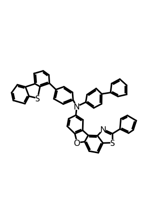 c1ccc(-c2ccc(N(c3ccc(-c4cccc5c4sc4ccccc45)cc3)c3ccc4oc5ccc6sc(-c7ccccc7)nc6c5c4c3)cc2)cc1